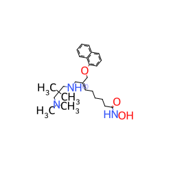 CN(C)CC(C)(C)CNC/C(=C/CCCCC(=O)NO)COc1cccc2ccccc12